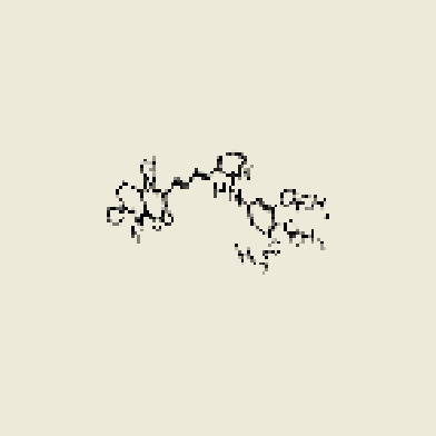 COc1cc(Nc2ncccc2/C=C/C=C/C(=O)NC2CCC(=O)NC2=O)cc(OC)c1OC